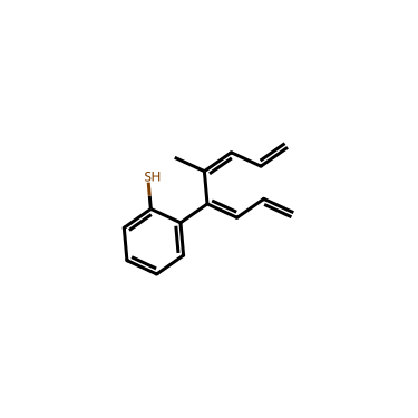 C=C/C=C(C)\C(=C/C=C)c1ccccc1S